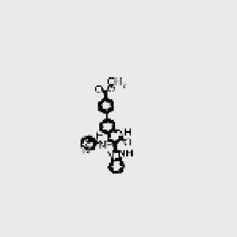 COC(=O)c1ccc(-c2ccc3c(N[C@H]4CN5CCC4CC5)c(-c4nc5ccccc5[nH]4)c(=O)[nH]c3c2)cc1